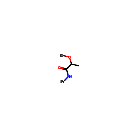 CCOC(C)C(=O)NC(C)C